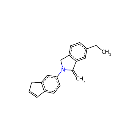 C=C1c2cc(CC)ccc2CN1c1ccc2c(c1)CC=C2